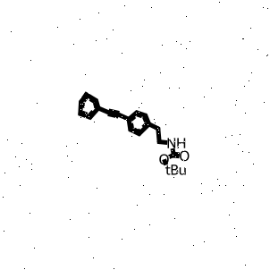 CC(C)(C)OC(=O)NCCc1ccc(C#Cc2ccccc2)cc1